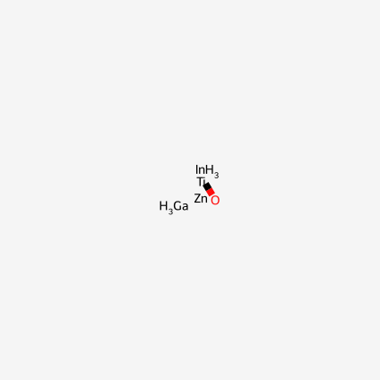 [GaH3].[InH3].[O]=[Ti].[Zn]